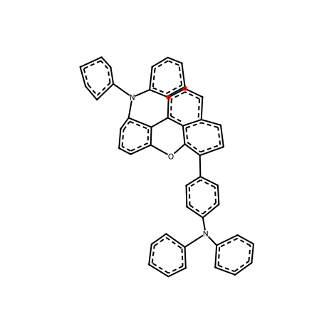 c1ccc(N(c2ccccc2)c2ccc(-c3ccc4cccc5c4c3Oc3cccc(N(c4ccccc4)c4ccccc4)c3-5)cc2)cc1